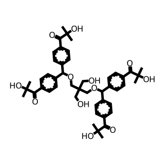 CC(C)(O)C(=O)c1ccc(C(OCC(CO)(CO)COC(c2ccc(C(=O)C(C)(C)O)cc2)c2ccc(C(=O)C(C)(C)O)cc2)c2ccc(C(=O)C(C)(C)O)cc2)cc1